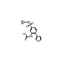 O=C(S)Nc1cc(S(=O)(=O)NC2CC2)ccc1-c1ccsc1